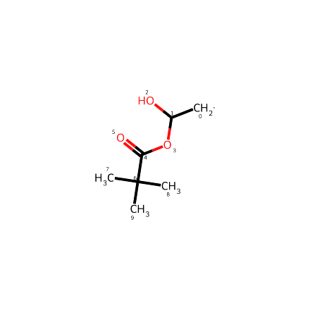 [CH2]C(O)OC(=O)C(C)(C)C